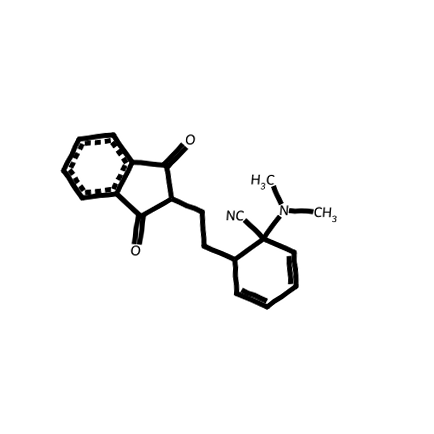 CN(C)C1(C#N)C=CC=CC1CCC1C(=O)c2ccccc2C1=O